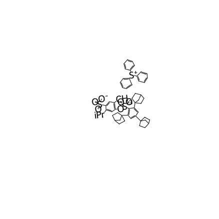 Cc1cc(S(=O)(=O)[O-])c(C(C)C)cc1OS(=O)(=O)c1c(C23CCC(CC2)C3)cc(C23CCC(CC2)C3)cc1C12CCC(CC1)C2.c1ccc([S+](c2ccccc2)c2ccccc2)cc1